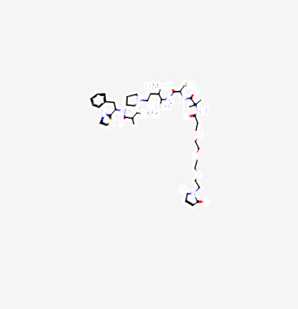 CCC(C)C(C(CC(=O)N1CCC[C@H]1C(OC)C(C)C(=O)NC(Cc1ccccc1)c1nccs1)OC)N(C)C(=O)C(NC(=O)C(C)(C)NC(=O)CCOCCOCCOCCN1C(=O)C=CC1=O)C(C)C